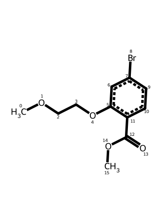 COCCOc1cc(Br)ccc1C(=O)OC